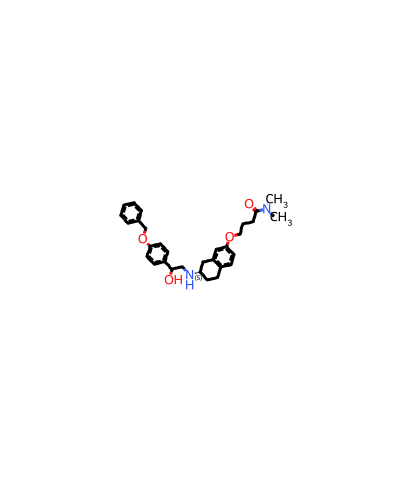 CN(C)C(=O)CCCOc1ccc2c(c1)C[C@@H](NCC(O)c1ccc(OCc3ccccc3)cc1)CC2